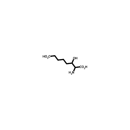 NC(C(=O)O)C(O)CCCCC(=O)O